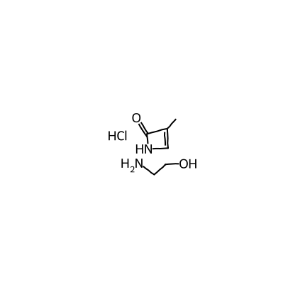 CC1=CNC1=O.Cl.NCCO